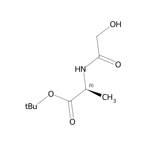 C[C@H](NC(=O)CO)C(=O)OC(C)(C)C